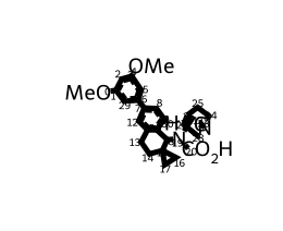 COc1cc(OC)cc(-c2ccc3c(c2)CCC2(CC2)C3N(C(=O)O)[C@@H]2CN3CCC2CC3)c1